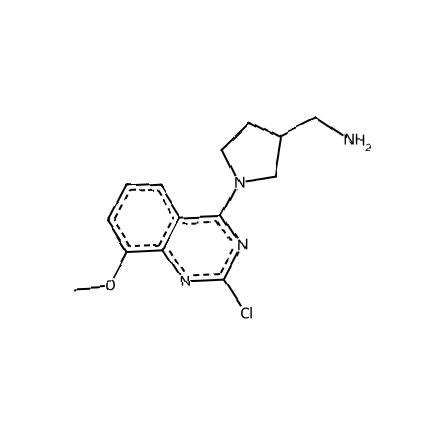 COc1cccc2c(N3CCC(CN)C3)nc(Cl)nc12